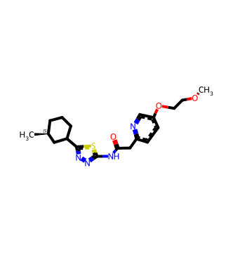 COCCOc1ccc(CC(=O)Nc2nnc(C3CCC[C@H](C)C3)s2)nc1